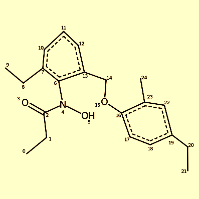 CCC(=O)N(O)c1c(CC)cccc1COc1ccc(CC)cc1C